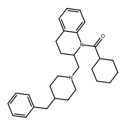 O=C(C1CCCCC1)N1c2ccccc2CCC1CN1CCC(Cc2ccccc2)CC1